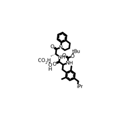 Cc1cc(CC(C)C)cc(C)c1CC(NC(=O)OC(C)(C)C)C(=O)N[C@H](C)C(=O)N1CCCc2ccccc21.O=C(O)O